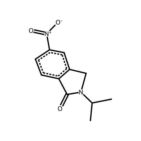 CC(C)N1Cc2cc([N+](=O)[O-])ccc2C1=O